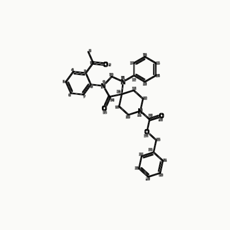 CC(=O)c1ccccc1N1CN(c2ccccc2)C2(CCN(C(=O)OCc3ccccc3)CC2)C1=O